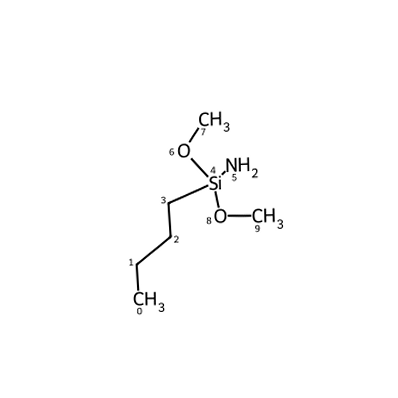 CCCC[Si](N)(OC)OC